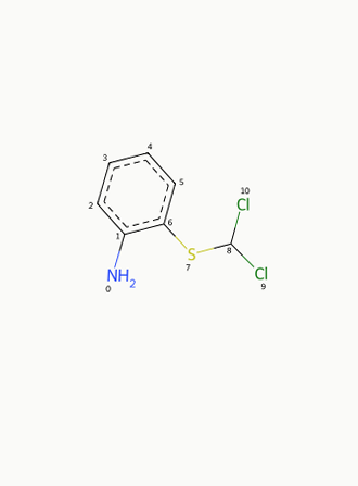 Nc1ccccc1SC(Cl)Cl